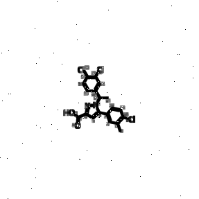 Cc1cc(-c2cc(C(=O)O)nn2C(C)c2ccc(Cl)c(Cl)c2)ccc1Cl